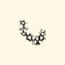 O=C(Nc1nc(-c2ccc(NC(=O)C3(c4ccc5c(c4)OC(F)(F)O5)CC3)cc2)ns1)C1CCCC1